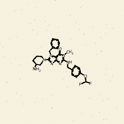 Cn1c(NCc2ccc(OC(F)F)cc2)nc2nc(N3CCCC(N)C3)n(Cc3ccccc3)c2c1=O